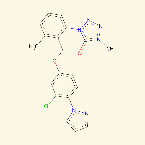 Cc1cccc(-n2nnn(C)c2=O)c1COc1ccc(-n2cccn2)c(Cl)c1